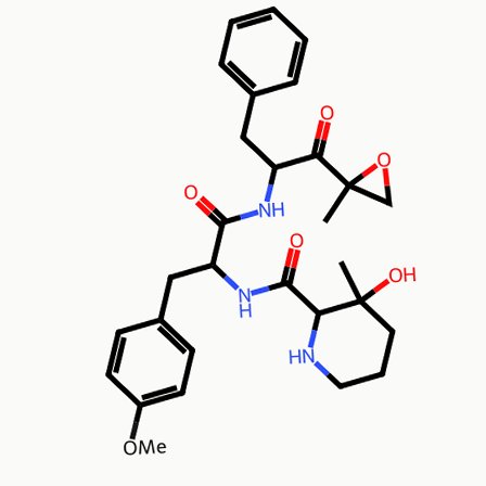 COc1ccc(CC(NC(=O)C2NCCCC2(C)O)C(=O)NC(Cc2ccccc2)C(=O)C2(C)CO2)cc1